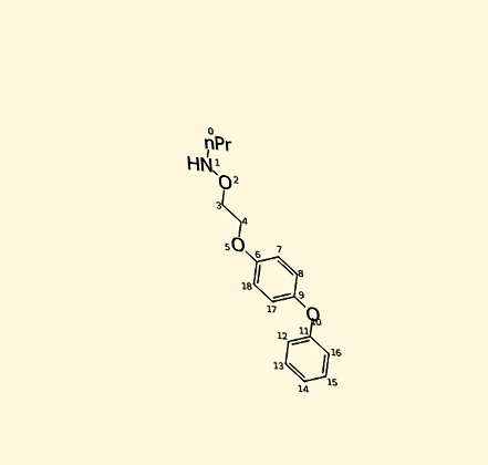 CCCNOCCOc1ccc(Oc2ccccc2)cc1